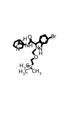 C[Si](C)(C)CCOCN1Nc2cc(Br)ccc2C1C(=O)N[C@H]1CN2CCC1CC2